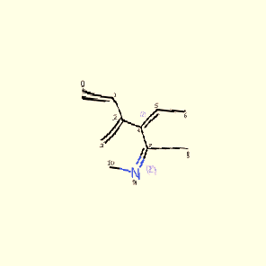 C=CC(=C)C(=C/C)/C(C)=N\C